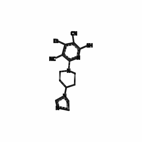 CCc1c(C#N)c(S)nc(N2CCC(n3ccnc3)CC2)c1C#N